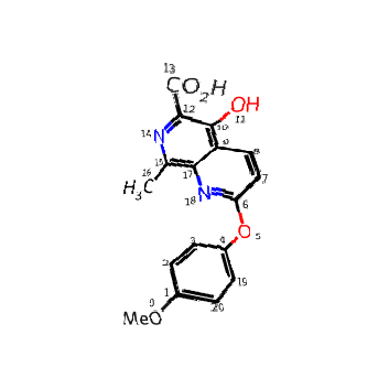 COc1ccc(Oc2ccc3c(O)c(C(=O)O)nc(C)c3n2)cc1